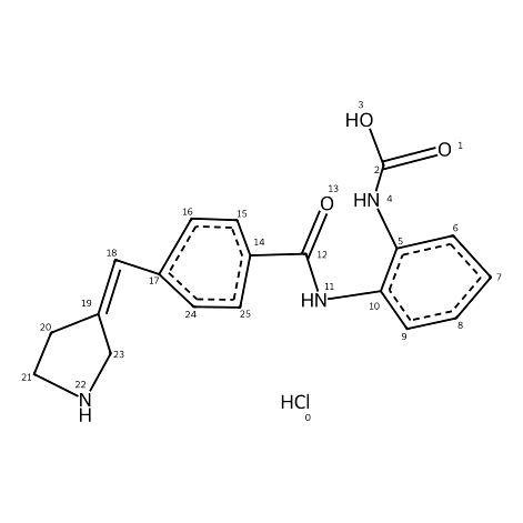 Cl.O=C(O)Nc1ccccc1NC(=O)c1ccc(/C=C2/CCNC2)cc1